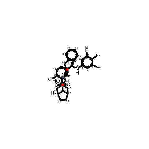 O=C(Nc1cc(F)c(F)c(F)c1)c1ccc(Cl)c(S(=O)(=O)C2C3CC[C@H]2C[C@](O)(/C=N/OCc2ccccc2)C3)c1